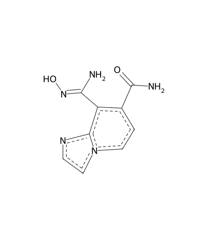 NC(=O)c1ccn2ccnc2c1C(N)=NO